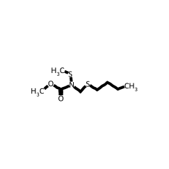 CCCCSCN(SC)C(=O)OC